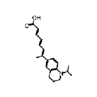 C\C(=C/C=C/C=C/C(=O)O)c1ccc2c(c1)CCCN2C(C)C